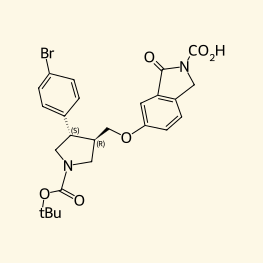 CC(C)(C)OC(=O)N1C[C@H](COc2ccc3c(c2)C(=O)N(C(=O)O)C3)[C@@H](c2ccc(Br)cc2)C1